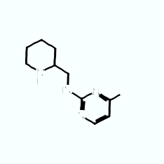 FC(F)(F)c1ccnc(NCC2CCCCN2)n1